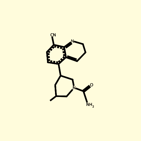 CC1CC(c2ccc(C#N)c3c2=CCCN=3)CN(C(N)=O)C1